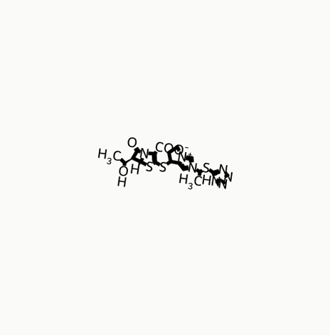 CC(O)[C@H]1C(=O)N2C(C(=O)[O-])=C(SC3CC[n+]4cn(C(C)Sc5nnn[nH]5)cc43)S[C@H]12